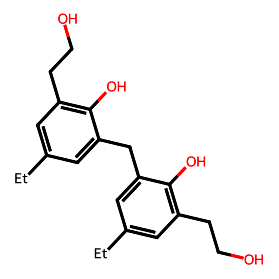 CCc1cc(CCO)c(O)c(Cc2cc(CC)cc(CCO)c2O)c1